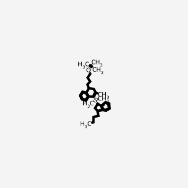 CCCCC1CC(S(C)(C)C2=C(C)CC(CCCCOC(C)(C)C)c3ccccc32)c2ccccc21